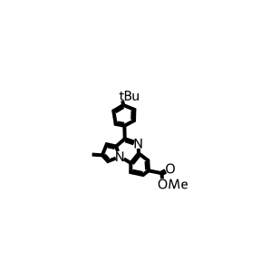 COC(=O)c1ccc2c(c1)nc(-c1ccc(C(C)(C)C)cc1)c1cc(C)cn12